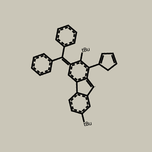 CC(C)(C)c1ccc2c(c1)[C]=c1c-2cc(=C(c2ccccc2)c2ccccc2)c(C(C)(C)C)c1C1=CC=CC1